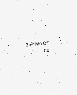 [Co].[Mn].[O-2].[Zn+2]